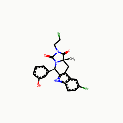 C[C@@]12Cc3c([nH]c4ccc(Br)cc34)[C@@H](c3cccc(O)c3)N1C(=O)N(CCBr)C2=O